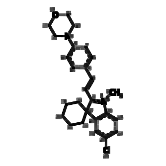 C[N+]1=C(/C=C/c2ccc(N3CCOCC3)cc2)C2(CCCCC2)c2cc(Cl)ccc21